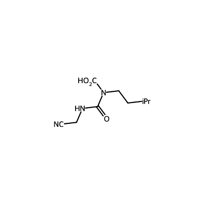 CC(C)CCN(C(=O)O)C(=O)NCC#N